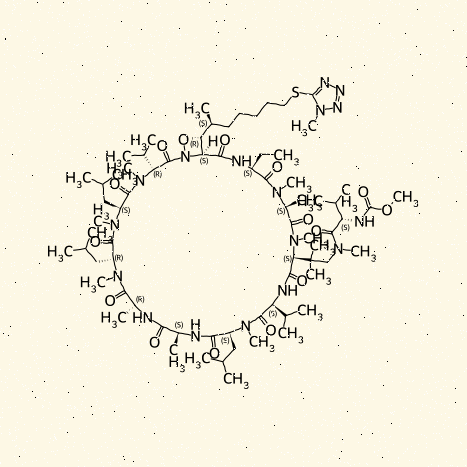 CC[C@@H]1NC(=O)[C@@H]2[C@@H]([C@@H](C)CCCCCSc3nnnn3C)ON2C(=O)[C@@H](C(C)C)N(C)C(=O)[C@H](CC(C)C)N(C)C(=O)[C@@H](CC(C)C)N(C)C(=O)[C@@H](C)NC(=O)[C@H](C)NC(=O)[C@H](CC(C)C)N(C)C(=O)[C@H](C(C)C)NC(=O)[C@H](C(C)(C)CN(C)C(=O)[C@@H](NC(=O)OC)C(C)C)N(C)C(=O)[C@H](C)N(C)C1=O